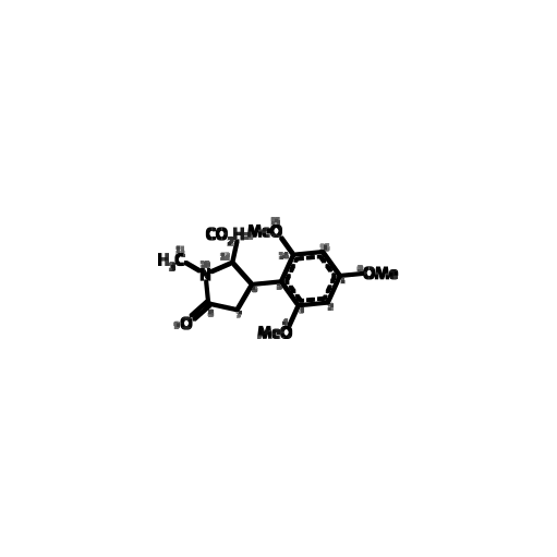 COc1cc(OC)c(C2CC(=O)N(C)C2C(=O)O)c(OC)c1